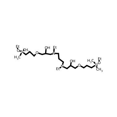 CCO[Si](C)(C)CCCOCC(O)CN(CC)CCCN(CC)CC(O)COCCC[Si](C)(C)OCC